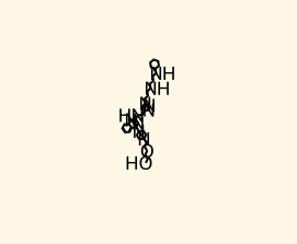 OCCOCCN1CCN(c2nc(NCc3cn(CCCNCCCNC4CCCCC4)nn3)nc3ccccc23)CC1